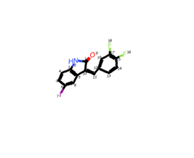 O=C1Nc2ccc(I)cc2C1=Cc1ccc(F)c(F)c1